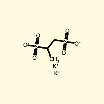 CC(CS(=O)(=O)[O-])S(=O)(=O)[O-].[K+].[K+]